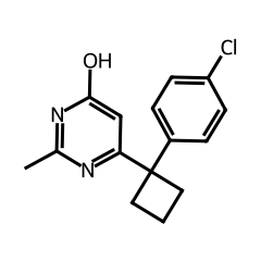 Cc1nc(O)cc(C2(c3ccc(Cl)cc3)CCC2)n1